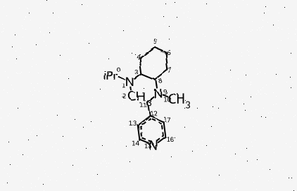 CC(C)N(C)C1CCCCC1N(C)Cc1ccncc1